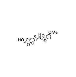 COc1cccc(S(=O)(=O)CNc2cc3oc(=O)c(C(=O)O)cc3s2)c1